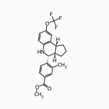 COC(=O)c1ccc([C@@H]2Nc3ccc(OC(F)(F)F)cc3[C@@H]3CCC[C@@H]32)c(C)c1